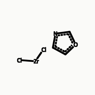 [Cl][Zr][Cl].c1cocn1